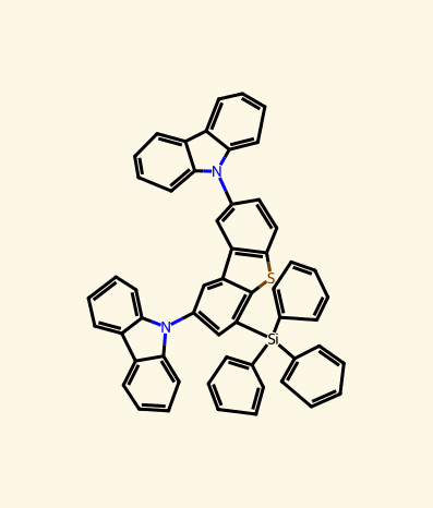 c1ccc([Si](c2ccccc2)(c2ccccc2)c2cc(-n3c4ccccc4c4ccccc43)cc3c2sc2ccc(-n4c5ccccc5c5ccccc54)cc23)cc1